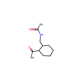 CC(C)(C)C(=O)NCC1CCCCC1C(=O)C(C)(C)C